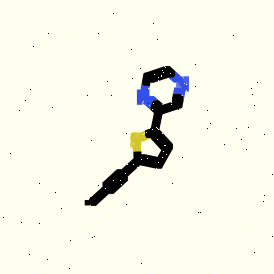 [CH2]C#Cc1ccc(-c2cnccn2)s1